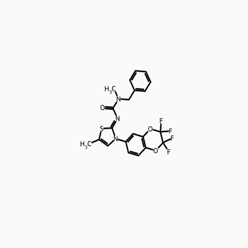 Cc1cn(-c2ccc3c(c2)OC(F)(F)C(F)(F)O3)/c(=N/C(=O)N(C)Cc2ccccc2)s1